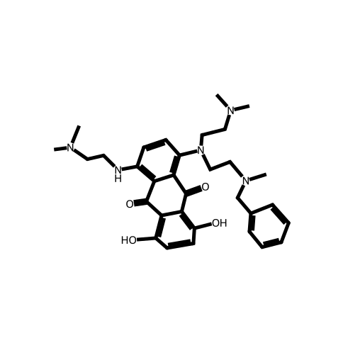 CN(C)CCNc1ccc(N(CCN(C)C)CCN(C)Cc2ccccc2)c2c1C(=O)c1c(O)ccc(O)c1C2=O